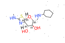 CNC1=N[C@@H]2[C@@H](O)[C@H](O)[C@@H](CNC3CCCCC3)O[C@@H]2S1